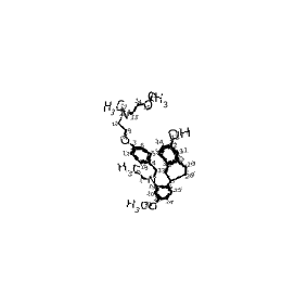 CCN(Cc1ccc(OCCN(C)CCOC)cc1)c1cc(OC)ccc1C1CCc2cc(O)ccc2C1